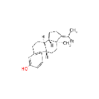 CC/C(C)=C1/CC[C@H]2[C@@H]3CCc4cc(O)ccc4[C@H]3CC[C@]12C